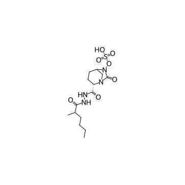 CCCCC(C)C(=O)NNC(=O)[C@@H]1CCC2CN1C(=O)N2OS(=O)(=O)O